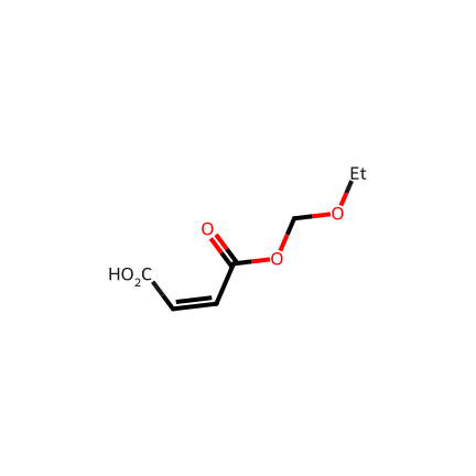 CCOCOC(=O)/C=C\C(=O)O